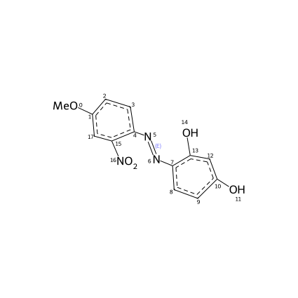 COc1ccc(/N=N/c2ccc(O)cc2O)c([N+](=O)[O-])c1